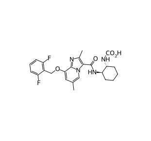 Cc1cc(OCc2c(F)cccc2F)c2nc(C)c(C(=O)N[C@@H]3CCCC[C@H]3NC(=O)O)n2c1